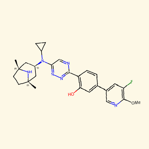 COc1ncc(-c2ccc(-c3ncc(N(C4CC4)[C@H]4C[C@]5(C)CC[C@](C)(C4)N5)nn3)c(O)c2)cc1F